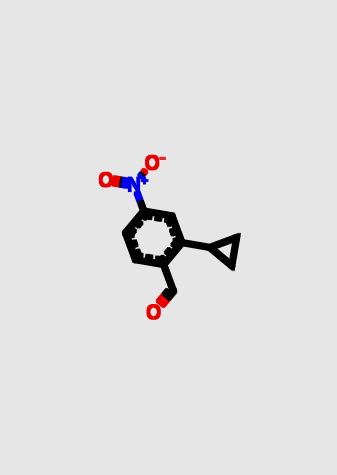 O=Cc1ccc([N+](=O)[O-])cc1C1CC1